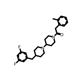 Cc1ccccc1CC(=O)N1CCC(N2CCC(Cc3cc(F)cc(F)c3)CC2)CC1